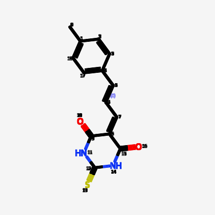 Cc1ccc(/C=C/C=C2C(=O)NC(=S)NC2=O)cc1